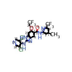 Cc1cc(NC(=O)c2cc3nc(Nc4c(Cl)cncc4Cl)[nH]c3cc2OCC(F)(F)F)nc(C(F)(F)F)c1